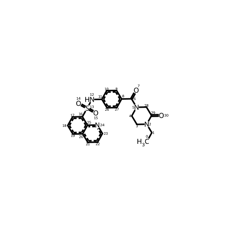 CCN1CCN(C(=O)c2ccc(NS(=O)(=O)c3cccc4cccnc34)cc2)CC1=O